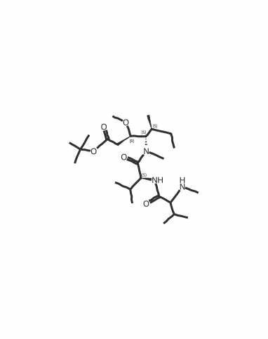 CC[C@H](C)[C@@H]([C@@H](CC(=O)OC(C)(C)C)OC)N(C)C(=O)[C@@H](NC(=O)C(NC)C(C)C)C(C)C